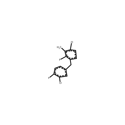 Cc1c(Cl)ccc(Cc2ccc(F)c(Cl)c2)c1F